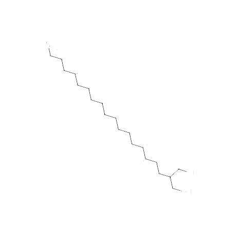 NCCCCCCCCCCCCCCCCCC(CO)CO